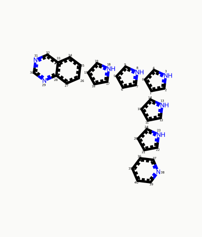 c1cc[nH]c1.c1cc[nH]c1.c1cc[nH]c1.c1cc[nH]c1.c1cc[nH]c1.c1ccc2ncncc2c1.c1ccncc1